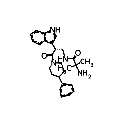 CC(C)(N)C(=O)NC[C@H](C(=O)N1CCC(c2ccccc2)CC1)c1c[nH]c2ccccc12